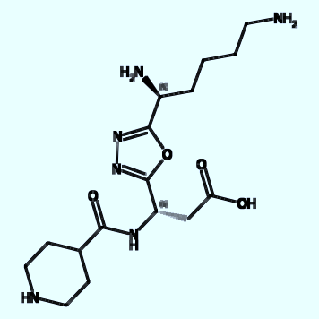 NCCCC[C@H](N)c1nnc([C@H](CC(=O)O)NC(=O)C2CCNCC2)o1